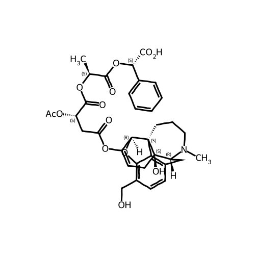 CC(=O)O[C@@H](CC(=O)OC1=CC[C@@]2(O)[C@H]3Cc4ccc(CO)c5c4[C@@]2(CCCN3C)[C@H]1O5)C(=O)O[C@@H](C)C(=O)O[C@H](C(=O)O)c1ccccc1